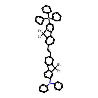 CCC1(CC)c2cc(/C=C/c3ccc4c(c3)C(CC)(CC)c3cc([Si](c5ccccc5)(c5ccccc5)c5ccccc5)ccc3-4)ccc2-c2ccc(N(c3ccccc3)c3ccccc3)cc21